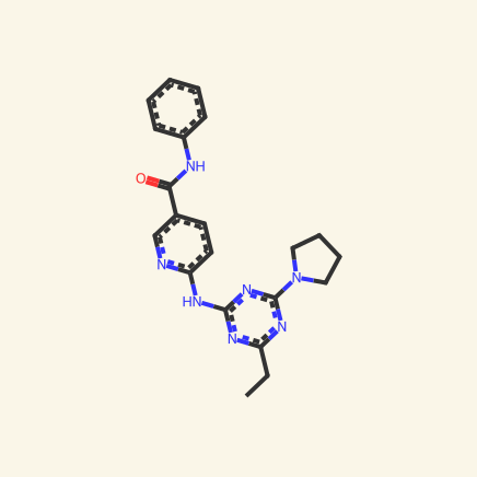 CCc1nc(Nc2ccc(C(=O)Nc3ccccc3)cn2)nc(N2CCCC2)n1